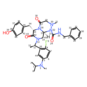 CC(C)N(C)c1ccc(F)c([C@@H](C)N2C[C@H]3N(C(=O)CN(C)N3C(=O)NCc3ccccc3)[C@@H](Cc3ccc(O)cc3)C2=O)c1